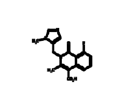 Cc1c(C(=O)O)c2cccc(F)c2c(=O)n1Cc1cncn1C